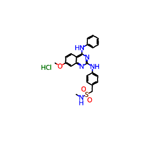 CNS(=O)(=O)Cc1ccc(Nc2nc(Nc3ccccc3)c3ccc(OC)cc3n2)cc1.Cl